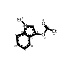 CCC(=O)Oc1cn(CC)c2ccccc12